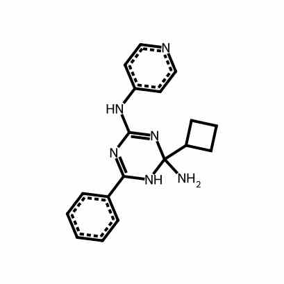 NC1(C2CCC2)N=C(Nc2ccncc2)N=C(c2ccccc2)N1